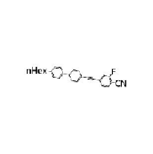 CCCCCCc1ccc(C2CC=C(C#Cc3ccc(C#N)c(F)c3)CC2)cc1